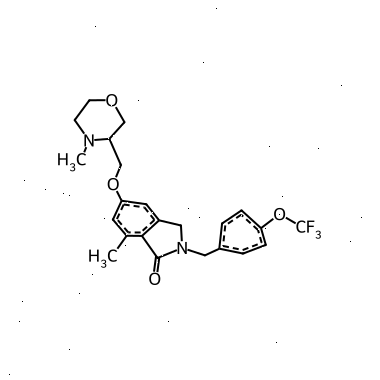 Cc1cc(OCC2COCCN2C)cc2c1C(=O)N(Cc1ccc(OC(F)(F)F)cc1)C2